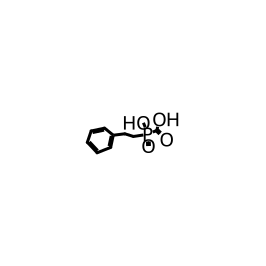 O=C(O)P(=O)(O)CCc1ccccc1